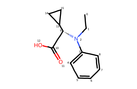 CCN(c1ccccc1)[C@H](C(=O)O)C1CC1